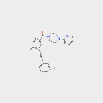 Cc1cccc(C#Cc2cc(C(=O)N3CCN(c4ccccn4)CC3)ccc2C)c1